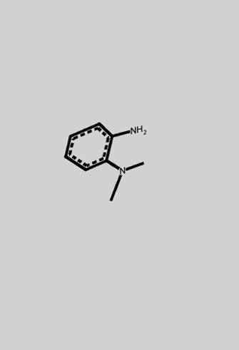 CN(C)c1ccccc1N